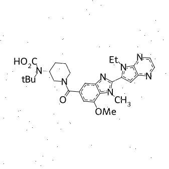 CCn1c(-c2nc3cc(C(=O)N4CCC[C@@H](N(C(=O)O)C(C)(C)C)C4)cc(OC)c3n2C)cc2nccnc21